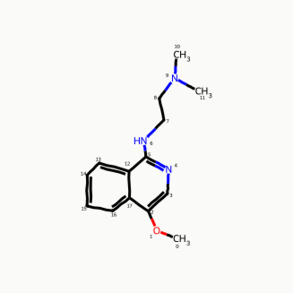 COc1cnc(NCCN(C)C)c2ccccc12